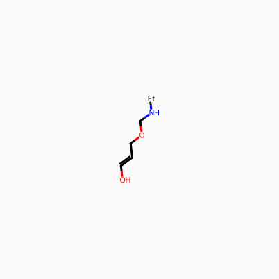 CCNCOCC=CO